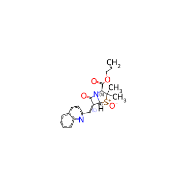 C=CCOC(=O)[C@@H]1N2C(=O)/C(=C\c3ccc4ccccc4n3)[C@H]2[S+]([O-])C1(C)C